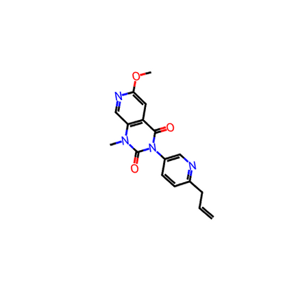 C=CCc1ccc(-n2c(=O)c3cc(OC)ncc3n(C)c2=O)cn1